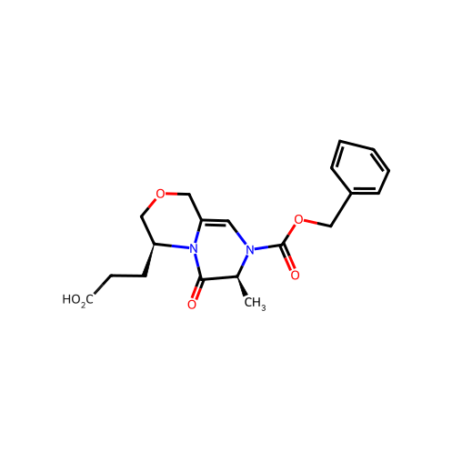 C[C@H]1C(=O)N2C(=CN1C(=O)OCc1ccccc1)COC[C@@H]2CCC(=O)O